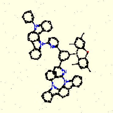 Cc1cc(C)c(B(c2cc(-c3cccc(-n4c5ccccc5c5ccc6c(c7ccccc7n6-c6ccccc6)c54)n3)cc(-c3cccc(-n4c5ccccc5c5ccc6c7ccccc7n(-c7ccccc7)c6c54)n3)c2)c2c(C)cc(C)cc2C)c(C)c1